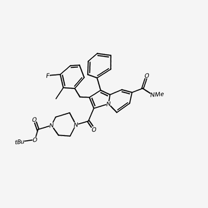 CNC(=O)c1ccn2c(C(=O)N3CCN(C(=O)OC(C)(C)C)CC3)c(Cc3cccc(F)c3C)c(-c3ccccc3)c2c1